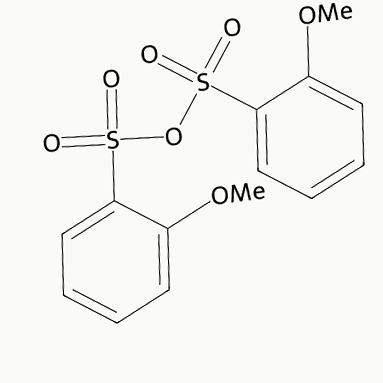 COc1ccccc1S(=O)(=O)OS(=O)(=O)c1ccccc1OC